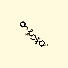 O=C(NC1CCN(S(=O)(=O)C2CCNCC2)CC1)OCc1ccccc1